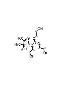 CC(C)(O)C(=O)O.OCCON(OCCO)OCCO